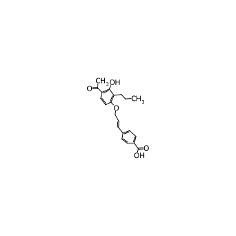 CCCc1c(OCC=Cc2ccc(C(=O)O)cc2)ccc(C(C)=O)c1O